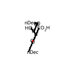 CCCCCCCCCCCCCCCCCCCCCOC(=O)CCCCCCCN(CCCCCCCC(=O)O)CCCN(CCCCO)CCCCCCCC(=C=O)OCCCCCCCCCCC